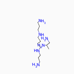 CC(N)CN.NCCCNCCCCNCCCN